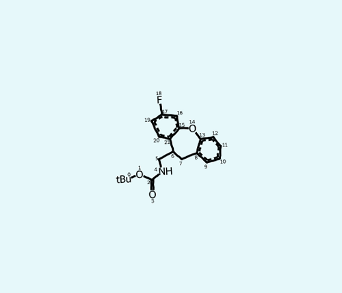 CC(C)(C)OC(=O)NCC1Cc2ccccc2Oc2cc(F)ccc21